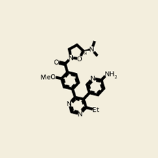 CCc1ncnc(-c2ccc(C(=O)N3CC[C@@H](N(C)C)O3)c(OC)c2)c1-c1ccc(N)nc1